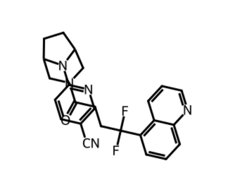 N#Cc1ccc(N2C3CCC2CN(C(=O)CCC(F)(F)c2cccc4ncccc24)C3)nc1